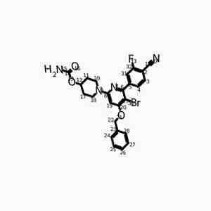 N#Cc1ccc(-c2nc(N3CCC(OC(N)=O)CC3)cc(OCc3ccccc3)c2Br)cc1F